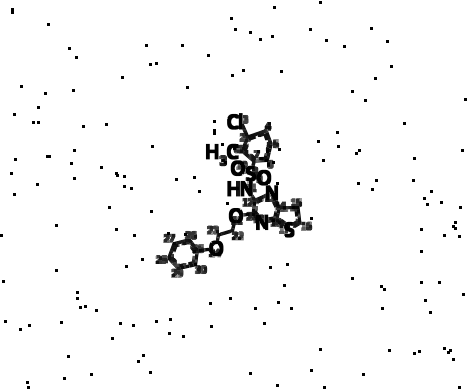 Cc1c(Cl)cccc1S(=O)(=O)Nc1nc2ccsc2nc1OCCOc1ccccc1